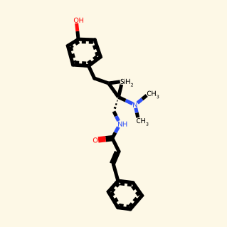 CN(C)[C@]1(CNC(=O)/C=C/c2ccccc2)[SiH2]C1Cc1ccc(O)cc1